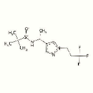 C[C@@H](N[S+]([O-])C(C)(C)C)c1cnn(CCC(F)(F)F)c1